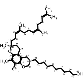 CC(C)=CCCC(C)=CCCC(C)=CCC[C@]1(C)CCc2c3c(c(C)c(C)c2O1)OCN(CCCCCCCCCCO)C3